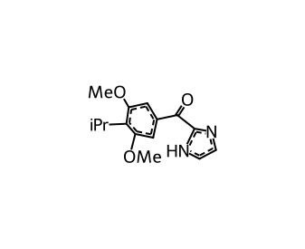 COc1cc(C(=O)c2ncc[nH]2)cc(OC)c1C(C)C